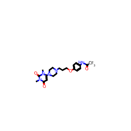 Cn1c(N2CCN(CCCOc3ccc(NC(=O)C(F)(F)F)cc3)CC2)cc(=O)n(C)c1=O